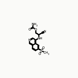 CS(=O)(=O)c1ccc2cncc(NC(C#N)COC(N)=O)c2c1